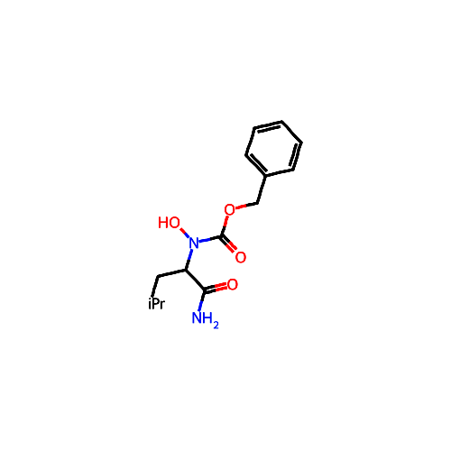 CC(C)CC(C(N)=O)N(O)C(=O)OCc1ccccc1